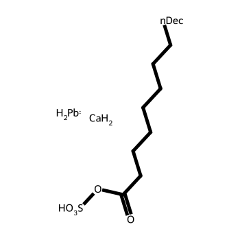 CCCCCCCCCCCCCCCCCC(=O)OS(=O)(=O)O.[CaH2].[PbH2]